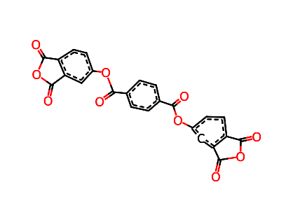 O=C(Oc1ccc2c(c1)C(=O)OC2=O)c1ccc(C(=O)Oc2ccc3c(c2)C(=O)OC3=O)cc1